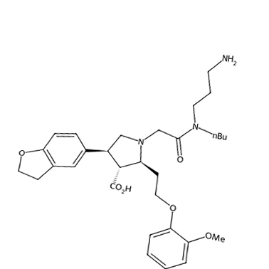 CCCCN(CCCN)C(=O)CN1C[C@H](c2ccc3c(c2)CCO3)[C@@H](C(=O)O)[C@@H]1CCOc1ccccc1OC